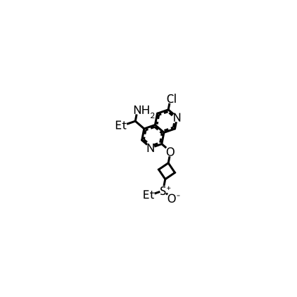 CCC(N)c1cnc(OC2CC([S+]([O-])CC)C2)c2cnc(Cl)cc12